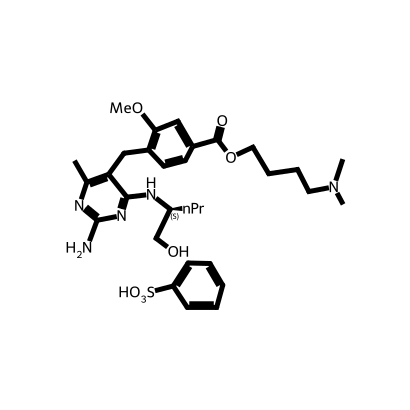 CCC[C@@H](CO)Nc1nc(N)nc(C)c1Cc1ccc(C(=O)OCCCCN(C)C)cc1OC.O=S(=O)(O)c1ccccc1